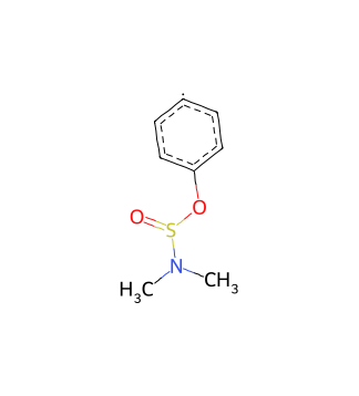 CN(C)S(=O)Oc1cc[c]cc1